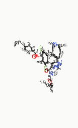 CC(C)c1ccc(COc2cc(F)c(-c3c(-c4ccncc4)nn4c3C(=O)N(CCO[Si](C)(C)C(C)(C)C)CC4)cc2F)cc1